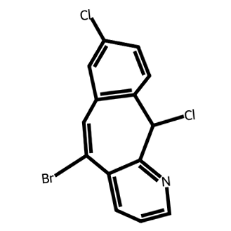 Clc1ccc2c(c1)C=C(Br)c1cccnc1C2Cl